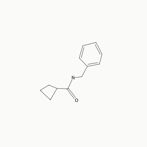 O=C([N]Cc1ccccc1)C1CCC1